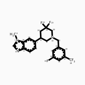 Cn1cnc2ccc(C3CN(Cc4cc(F)cc(C(F)(F)F)c4)CC(F)(F)C3)cc21